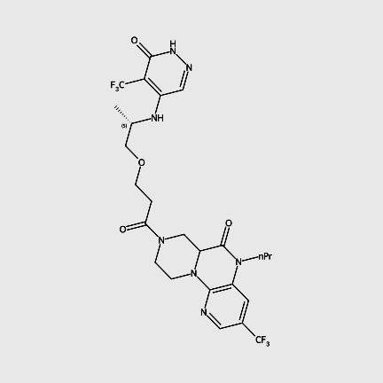 CCCN1C(=O)C2CN(C(=O)CCOC[C@H](C)Nc3cn[nH]c(=O)c3C(F)(F)F)CCN2c2ncc(C(F)(F)F)cc21